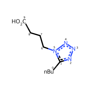 CCCCc1nnnn1CCCC(=O)O